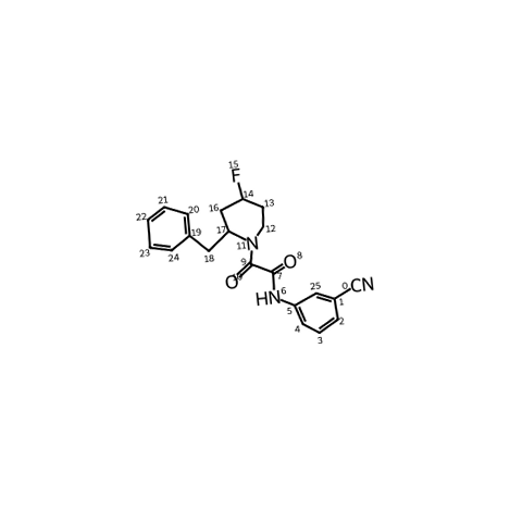 N#Cc1cccc(NC(=O)C(=O)N2CCC(F)CC2Cc2ccccc2)c1